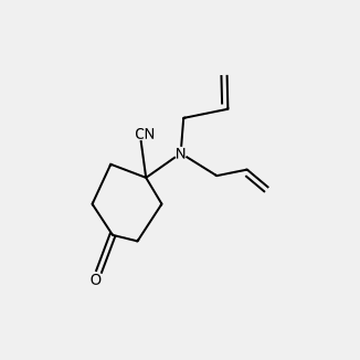 C=CCN(CC=C)C1(C#N)CCC(=O)CC1